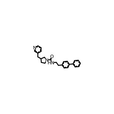 O=C(NCCc1ccc(-c2ccccc2)cc1)N1CCC(Cc2cccnc2)C1